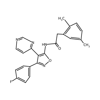 Cc1ccc(C)c(CC(=O)Nc2onc(-c3ccc(F)cc3)c2-c2ccncn2)c1